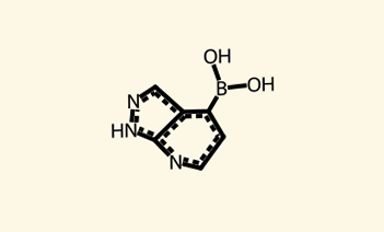 OB(O)c1ccnc2[nH]ncc12